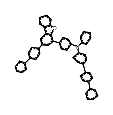 c1ccc(-c2ccc(-c3ccc(N(c4ccccc4)c4ccc(-c5cc(-c6ccc(-c7ccccc7)cc6)cc6c5oc5ccccc56)cc4)cc3)cc2)cc1